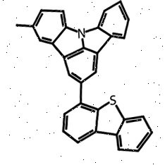 Cc1ccc2c(c1)c1cc(-c3cccc4c3sc3ccccc34)cc3c4ccccc4n2c31